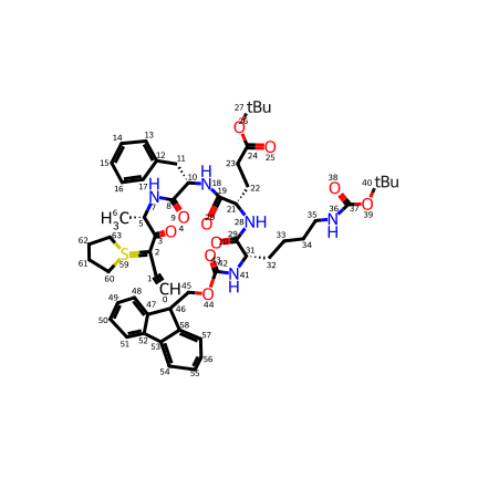 C#CC(C(=O)[C@H](C)NC(=O)[C@H](Cc1ccccc1)NC(=O)[C@H](CCC(=O)OC(C)(C)C)NC(=O)[C@H](CCCCNC(=O)OC(C)(C)C)NC(=O)OCC1c2ccccc2-c2ccccc21)=S1CCCC1